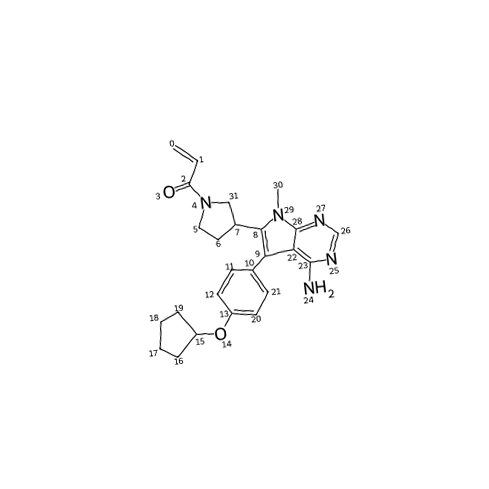 C=CC(=O)N1CCC(c2c(-c3ccc(OC4CCCC4)cc3)c3c(N)ncnc3n2C)C1